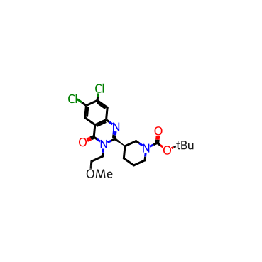 COCCn1c([C@@H]2CCCN(C(=O)OC(C)(C)C)C2)nc2cc(Cl)c(Cl)cc2c1=O